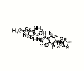 Cc1nc2sc(C(O)N[C@H]3COc4c(F)c(N5CC6CCC(C5)N6)cc(F)c4C3)c(N)c2s1